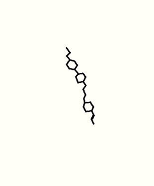 CC=CC1CCC(CCCCC2CCC(C3CCC(CCC)CC3)CC2)CC1